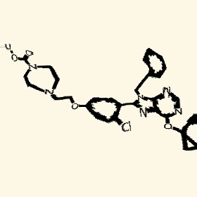 C#CC1(Oc2ncnc3c2nc(-c2ccc(OCCN4CCN(C(=O)OC(C)(C)C)CC4)cc2Cl)n3Cc2ccccc2)CC1